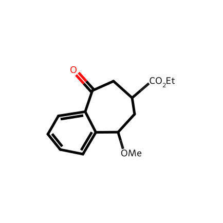 CCOC(=O)C1CC(=O)c2ccccc2C(OC)C1